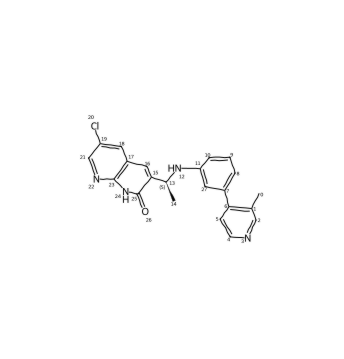 Cc1cnccc1-c1cccc(N[C@@H](C)c2cc3cc(Cl)cnc3[nH]c2=O)c1